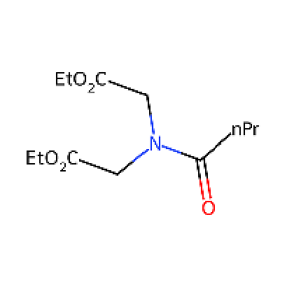 CCCC(=O)N(CC(=O)OCC)CC(=O)OCC